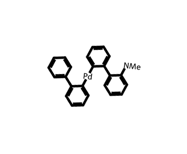 CNc1ccccc1-c1cccc[c]1[Pd][c]1ccccc1-c1ccccc1